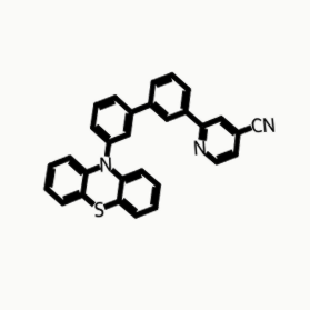 N#Cc1ccnc(-c2cccc(-c3cccc(N4c5ccccc5Sc5ccccc54)c3)c2)c1